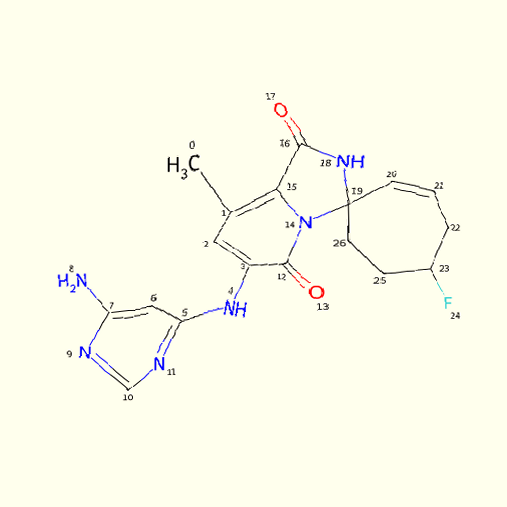 Cc1cc(Nc2cc(N)ncn2)c(=O)n2c1C(=O)NC21C=CCC(F)CC1